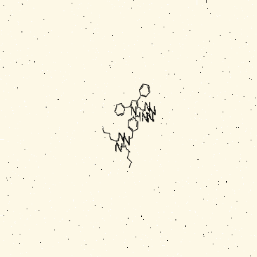 CCCCc1nc(CCCC)n(Cc2ccc(-n3c(-c4ccccc4)cc(-c4ccccc4)c3-c3nnn[nH]3)cc2)n1